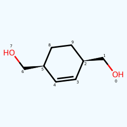 OC[C@H]1C=C[C@@H](CO)CC1